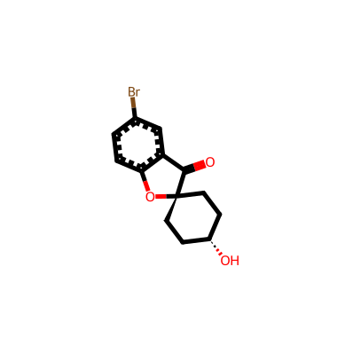 O=C1c2cc(Br)ccc2O[C@]12CC[C@@H](O)CC2